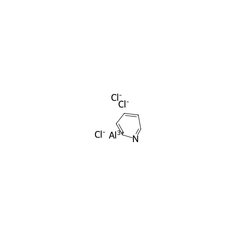 [Al+3].[Cl-].[Cl-].[Cl-].c1ccncc1